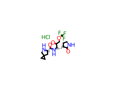 Cl.O=C1NCC[C@H]1C[C@H](NC(=O)[C@@H]1CC2(CC2)CN1)C(=O)COC(F)(F)F